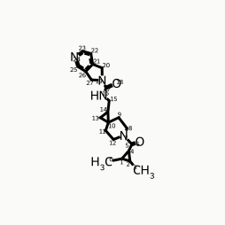 CC1C(C)C1C(=O)N1CCC2(CC1)CC2CNC(=O)N1Cc2ccncc2C1